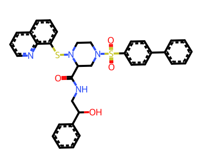 O=C(NCC(O)c1ccccc1)C1CN(S(=O)(=O)c2ccc(-c3ccccc3)cc2)CCN1Sc1cccc2cccnc12